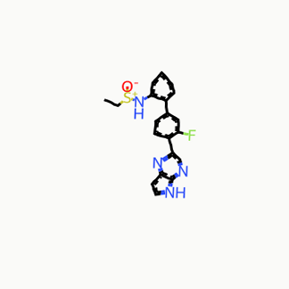 CC[S+]([O-])Nc1ccccc1-c1ccc(-c2cnc3[nH]ccc3n2)c(F)c1